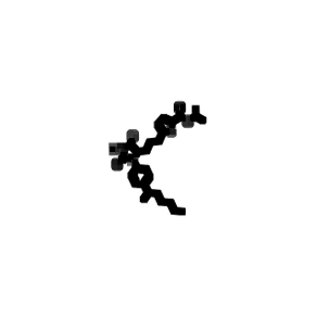 CCCCCC(C)c1ccc(N2C(=O)NC(=O)C2CCCc2ccc(C(=O)OC(C)C)s2)cc1